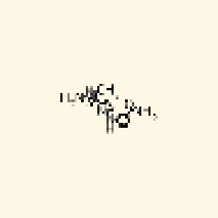 Cc1nc(N)sc1-c1csc(Nc2cccc(C(N)=O)c2)n1